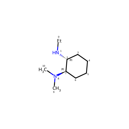 CCN[C@@H]1CCCC[C@H]1N(C)C